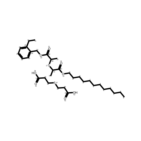 CCCCCCCCCCCCOC(=O)C(C)SC(C)C(=O)OCc1ccccc1CC.O=C(O)CCSCCC(=O)O